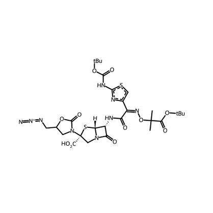 CC(C)(C)OC(=O)Nc1nc(/C(=N/OC(C)(C)C(=O)OC(C)(C)C)C(=O)N[C@@H]2C(=O)N3C[C@@](C(=O)O)(N4CC(CN=[N+]=[N-])OC4=O)S[C@H]23)cs1